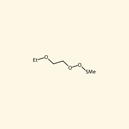 CCOCCOOSC